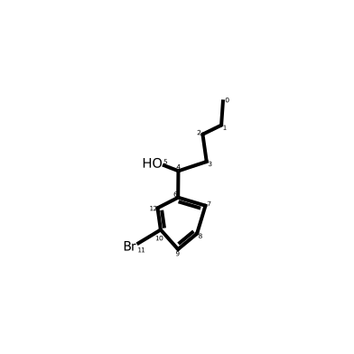 CCCCC(O)c1cccc(Br)c1